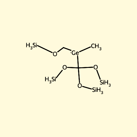 [CH3][Ge]([CH2]O[SiH3])[C](O[SiH3])(O[SiH3])O[SiH3]